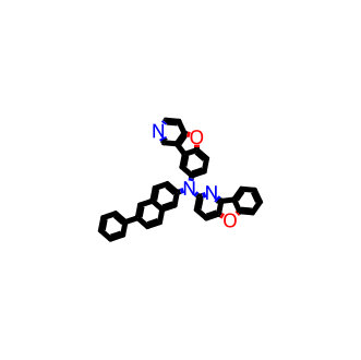 c1ccc(-c2ccc3cc(N(c4ccc5oc6ccncc6c5c4)c4ccc5oc6ccccc6c5n4)ccc3c2)cc1